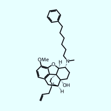 C=CCN1CC[C@]23c4c5ccc(OC)c4O[C@H]2[C@H](N(C)CCCCCCc2ccccc2)CC[C@@]3(O)[C@H]1C5